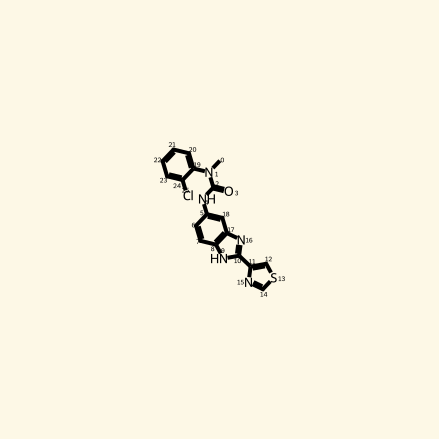 CN(C(=O)Nc1ccc2[nH]c(-c3cscn3)nc2c1)c1ccccc1Cl